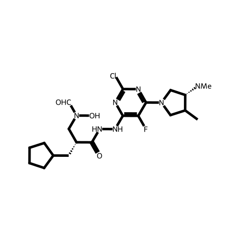 CN[C@H]1CN(c2nc(Cl)nc(NNC(=O)[C@H](CC3CCCC3)CN(O)C=O)c2F)CC1C